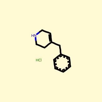 C1=C(Cc2ccccc2)CCNC1.Cl